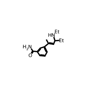 CCNC(/C=C(\C)c1cccc(C(N)=O)c1)CC